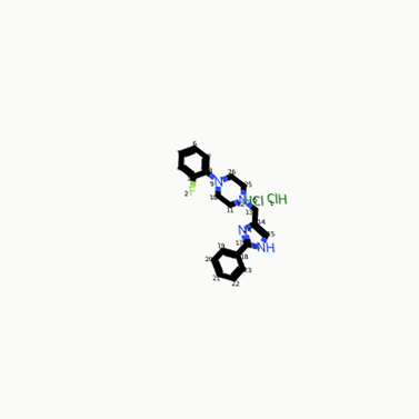 Cl.Cl.Fc1ccccc1N1CCN(Cc2c[nH]c(-c3ccccc3)n2)CC1